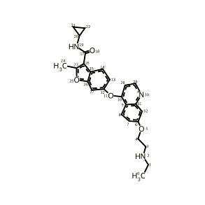 CCNCCOc1ccc2c(Oc3ccc4c(C(=O)NC5CC5)c(C)oc4c3)ccnc2c1